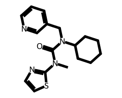 CN(C(=O)N(Cc1cccnc1)C1CCCCC1)c1nccs1